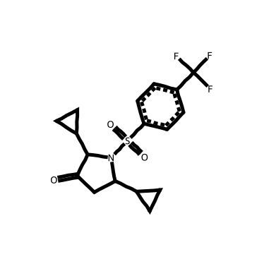 O=C1CC(C2CC2)N(S(=O)(=O)c2ccc(C(F)(F)F)cc2)C1C1CC1